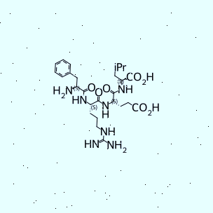 CC(C)C[C@H](NC(=O)[C@H](CCC(=O)O)NC(=O)[C@H](CCCNC(=N)N)NC(=O)[C@@H](N)Cc1ccccc1)C(=O)O